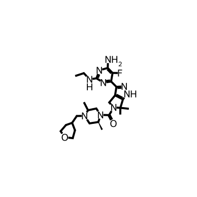 CCNc1nc(N)c(F)c(-c2n[nH]c3c2CN(C(=O)N2CC(C)N(CC4CCOCC4)C[C@@H]2C)C3(C)C)n1